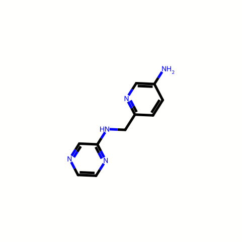 Nc1ccc(CNc2cnccn2)nc1